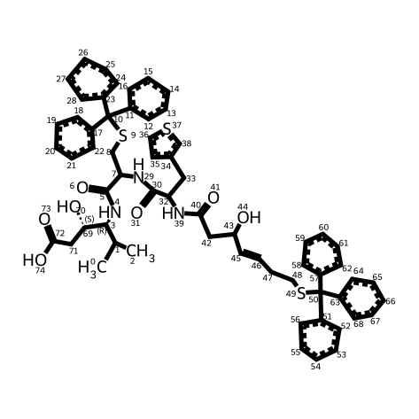 CC(C)[C@@H](NC(=O)C(CSC(c1ccccc1)(c1ccccc1)c1ccccc1)NC(=O)C(Cc1ccsc1)NC(=O)CC(O)C=CCCSC(c1ccccc1)(c1ccccc1)c1ccccc1)[C@@H](O)CC(=O)O